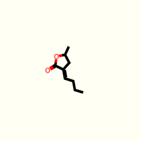 CCC/C=C1\CC(C)OC1=O